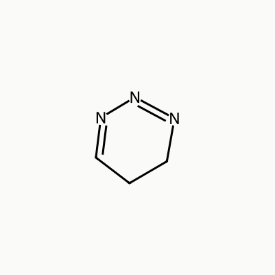 C1=NN=NCC1